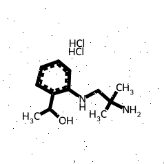 CC(O)c1ccccc1NCC(C)(C)N.Cl.Cl